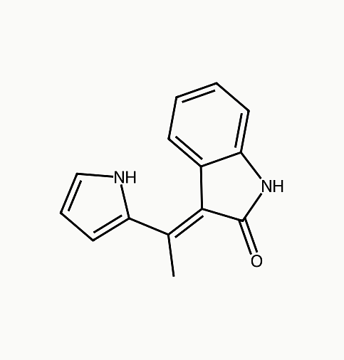 CC(=C1C(=O)Nc2ccccc21)c1ccc[nH]1